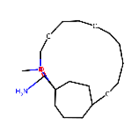 CN1CCCCCCCCCCC2C[CH]CC1(C(N)=O)CC2